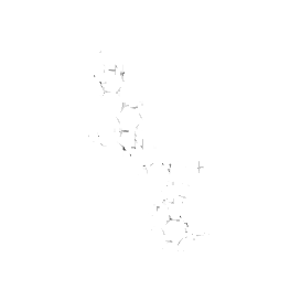 CC(=O)c1nn(CC(=O)N2C[C@H](F)C[C@H]2CS(=O)(=O)c2cccc(Br)n2)c2ccc(-c3cnc(C)nc3)cc12